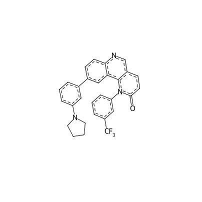 O=c1ccc2cnc3ccc(-c4cccc(N5CCCC5)c4)cc3c2n1-c1cccc(C(F)(F)F)c1